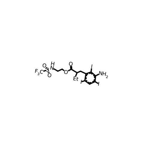 CCC(Cc1c(I)cc(I)c(N)c1I)C(=O)OCCNS(=O)(=O)C(F)(F)F